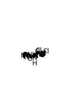 O=C(Nc1ccncn1)c1cc(C(=O)c2cccc(Cl)c2Cl)c[nH]1